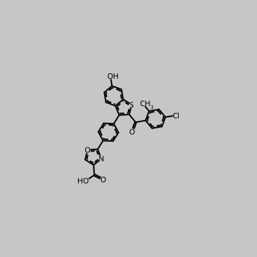 Cc1cc(Cl)ccc1C(=O)c1sc2cc(O)ccc2c1-c1ccc(-c2nc(C(=O)O)co2)cc1